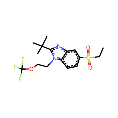 CCS(=O)(=O)c1ccc2c(c1)nc(C(C)(C)C)n2CCOC(F)(F)F